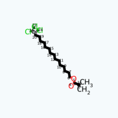 C=C(C)C(=O)OCCCCCCCCCCCCCCC[Si](Cl)(Cl)Cl